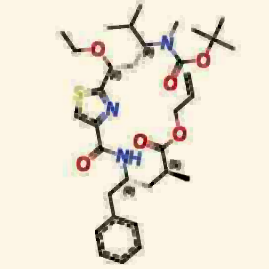 C=CCOC(=O)[C@@H](C)C[C@H](Cc1ccccc1)NC(=O)c1csc([C@@H](C[C@H](C(C)C)N(C)C(=O)OC(C)(C)C)OCC)n1